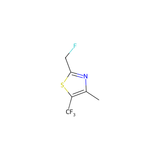 Cc1nc(CF)sc1C(F)(F)F